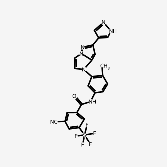 Cc1ccc(NC(=O)c2cc(C#N)cc(S(F)(F)(F)(F)F)c2)cc1-n1ccn2nc(-c3cn[nH]c3)cc12